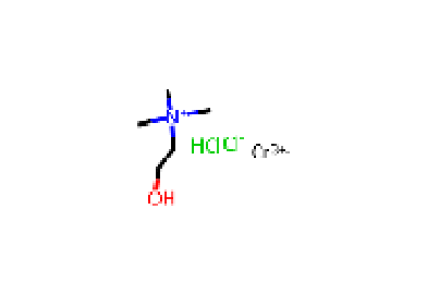 C[N+](C)(C)CCO.Cl.[Cl-].[Cr+3]